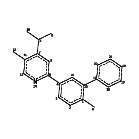 Cc1ccc(-c2cc(C(C)C)c(C)cn2)cc1-c1ccccc1